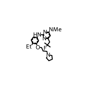 CCc1ccc(Nc2nc(CC(C)(C)F)cc(NC)n2)cc1OCCCN1CCCC1